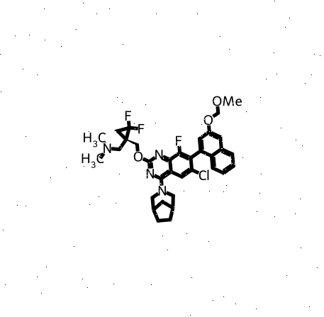 COCOc1cc(-c2c(Cl)cc3c(N4CC5CCC(C5)C4)nc(OC[C@@]4(CN(C)C)CC4(F)F)nc3c2F)c2ccccc2c1